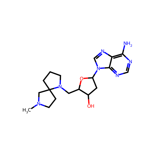 CN1CCC2(CCCN2CC2OC(n3cnc4c(N)ncnc43)CC2O)C1